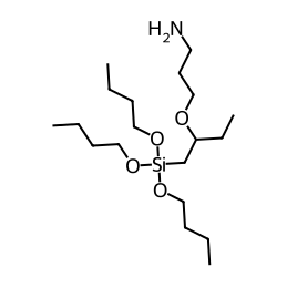 CCCCO[Si](CC(CC)OCCCN)(OCCCC)OCCCC